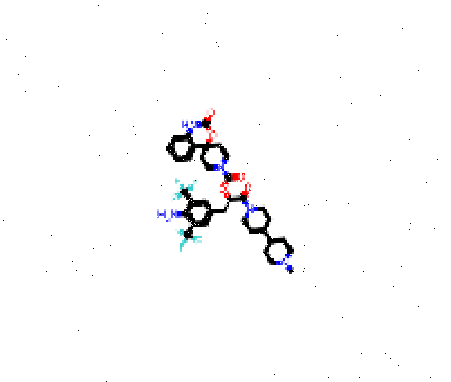 CN1CCC(C2CCN(C(=O)[C@@H](Cc3cc(C(F)(F)F)c(N)c(C(F)(F)F)c3)OC(=O)N3CCC4(CC3)OC(=O)Nc3ccccc34)CC2)CC1